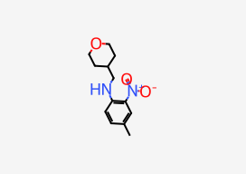 Cc1ccc(NCC2CCOCC2)c([N+](=O)[O-])c1